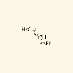 CC=CPCCC